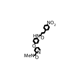 CNC(=O)c1cc(Oc2ccc(NC(=O)C=Cc3ccc([N+](=O)[O-])cc3)cc2)ccn1